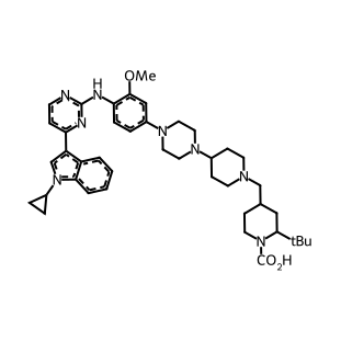 COc1cc(N2CCN(C3CCN(CC4CCN(C(=O)O)C(C(C)(C)C)C4)CC3)CC2)ccc1Nc1nccc(-c2cn(C3CC3)c3ccccc23)n1